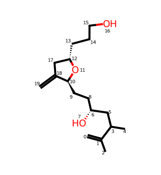 C=C(C)C(C)C[C@H](O)CC[C@@H]1O[C@@H](CCCO)CC1=C